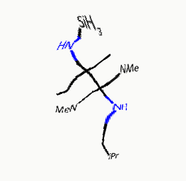 CNC(NC)(NCC(C)C)C(C)(C)N[SiH3]